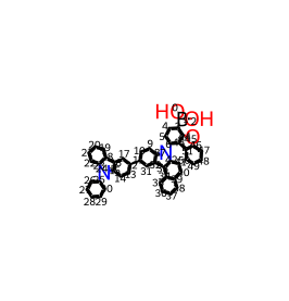 OB(O)c1ccc(-n2c3ccc(-c4ccc5c(c4)c4ccccc4n5-c4ccccc4)cc3c3c4ccccc4ccc32)c2c1oc1ccccc12